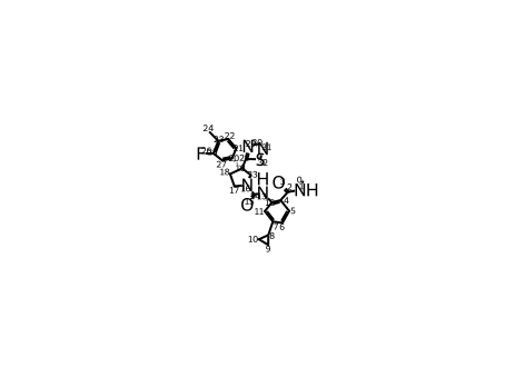 CNC(=O)c1ccc(C2CC2)cc1NC(=O)N1CC[C@@](c2ccc(C)c(F)c2)(c2ncns2)C1